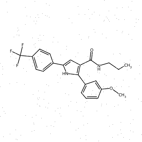 CCCNC(=O)c1cc(-c2ccc(C(F)(F)F)cc2)[nH]c1-c1cccc(OC)c1